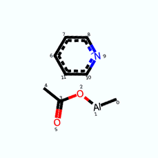 [CH3][Al][O]C(C)=O.c1ccncc1